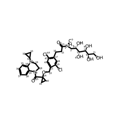 CN(C[C@H](O)[C@@H](O)[C@@H](O)[C@H](O)CO)C(=O)CCc1cc(Cl)c(COC2(C(=O)N3CCN(C4CC4)c4ccccc43)CC2)cc1Cl